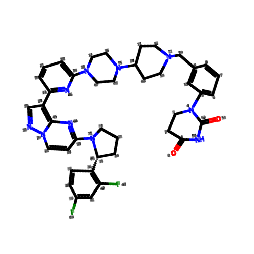 O=C1CCN(c2cccc(CN3CCC(N4CCN(c5cccc(-c6cnn7ccc(N8CCC[C@@H]8c8ccc(F)cc8F)nc67)n5)CC4)CC3)c2)C(=O)N1